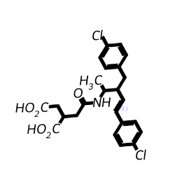 CC(NC(=O)CC(CC(=O)O)C(=O)O)C(/C=C/c1ccc(Cl)cc1)Cc1ccc(Cl)cc1